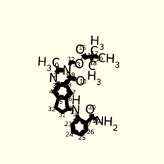 Cc1nc2cc3c(cc2c(=O)n1COC(=O)C(C)(C)C)C(Nc1ccccc1C(N)=O)CC3